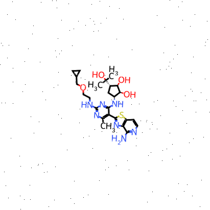 Cc1nc(NCCOCC2CC2)nc(N[C@@H]2C[C@H](C(C)(C)O)[C@@H](O)[C@H]2O)c1-c1nc2c(N)nccc2s1